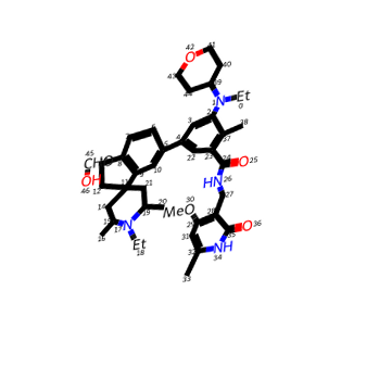 CCN(c1cc(-c2ccc3c(c2)C2(CC3)CC(C)N(CC)C(C)C2)cc(C(=O)NCc2c(OC)cc(C)[nH]c2=O)c1C)C1CCOCC1.O=CO